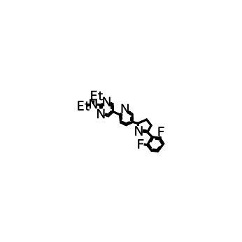 CCN(CC)c1ncc(-c2ccc(C3CCC(c4c(F)cccc4F)=N3)cn2)cn1